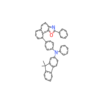 CC1(C)c2ccccc2-c2ccc(N(c3ccccc3)c3ccc(-c4cccc5ccc6nc(-c7ccccc7)oc6c45)cc3)cc21